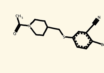 CC(=O)N1CCC(CSc2ccc(Br)c(C#N)c2)CC1